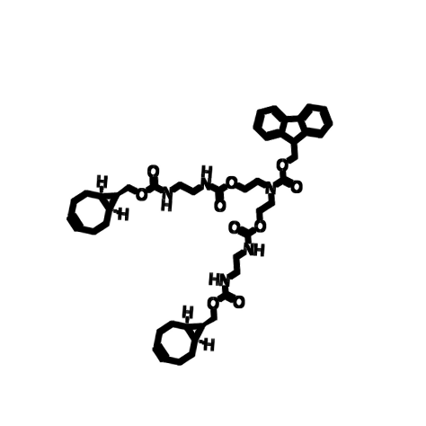 O=C(NCCNC(=O)OC[C@@H]1[C@@H]2CCC#CCC[C@@H]21)OCCN(CCOC(=O)NCCNC(=O)OC[C@@H]1[C@@H]2CCC#CCC[C@@H]21)C(=O)OCC1c2ccccc2-c2ccccc21